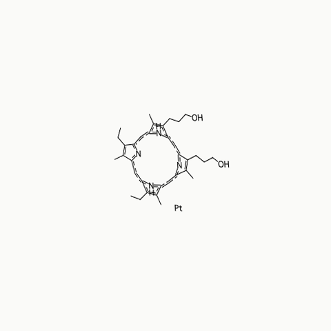 CCC1=C(C)c2cc3[nH]c(cc4nc(cc5[nH]c(cc1n2)c(C)c5CCCO)C(CCCO)=C4C)c(C)c3CC.[Pt]